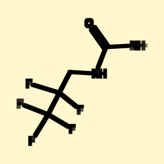 [NH]C(=O)NCC(F)(F)C(F)(F)F